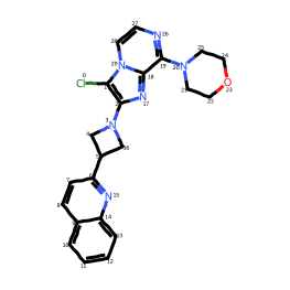 Clc1c(N2CC(c3ccc4ccccc4n3)C2)nc2c(N3CCOCC3)nccn12